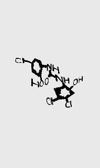 O=C(Nc1ccc(Cl)cc1O)Nc1cc(Cl)c(Cl)cc1O